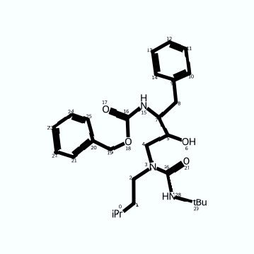 CC(C)CCN(CC(O)C(Cc1ccccc1)NC(=O)OCc1ccccc1)C(=O)NC(C)(C)C